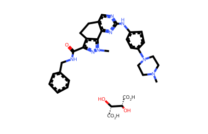 CN1CCN(c2ccc(Nc3ncc4c(n3)-c3c(c(C(=O)NCc5ccccc5)nn3C)CC4)cc2)CC1.O=C(O)[C@H](O)[C@@H](O)C(=O)O